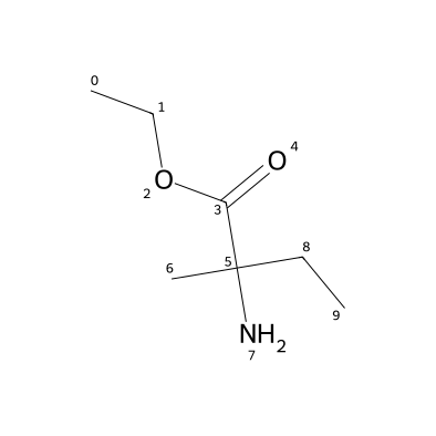 CCOC(=O)C(C)(N)CC